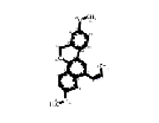 C/C=C\c1cc2c(c3ccc(OC)cc13)OCc1cc(OC)ccc1-2